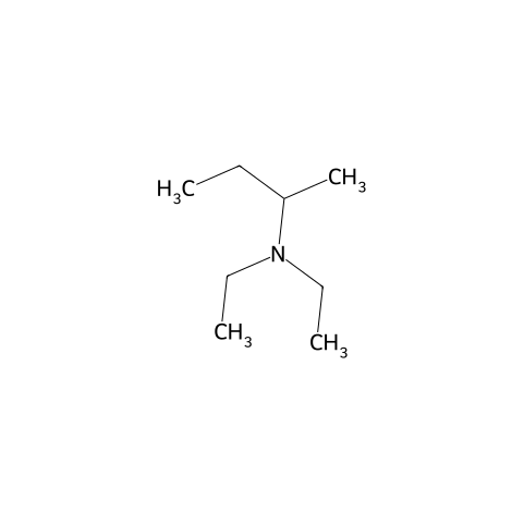 CCC(C)N(CC)CC